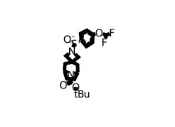 CC(C)(C)OC(=O)N1C2CCC1CC1(C2)CN([S+]([O-])c2ccc(OC(F)F)cc2)C1